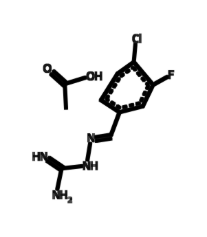 CC(=O)O.N=C(N)NN=Cc1ccc(Cl)c(F)c1